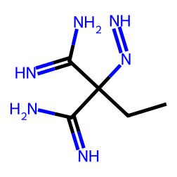 CCC(N=N)(C(=N)N)C(=N)N